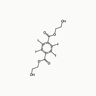 O=C(OCCO)c1c(I)c(I)c(C(=O)OCCO)c(I)c1I